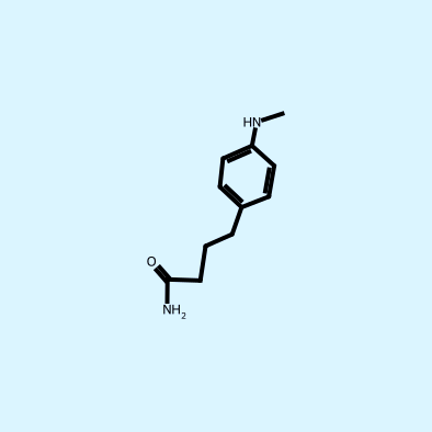 CNc1ccc(CCCC(N)=O)cc1